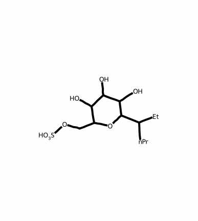 CCCC(CC)C1OC(COS(=O)(=O)O)C(O)C(O)C1O